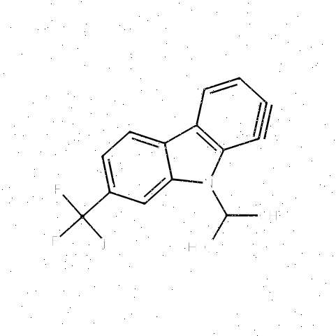 CC(C)n1c2c#cccc2c2ccc(C(F)(F)F)cc21